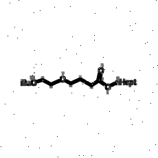 CCCCCCCOC(=O)CCCOCCOCC(C)C